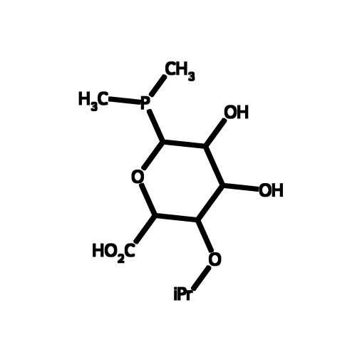 CC(C)OC1C(C(=O)O)OC(P(C)C)C(O)C1O